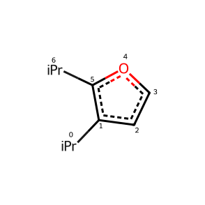 CC(C)c1ccoc1C(C)C